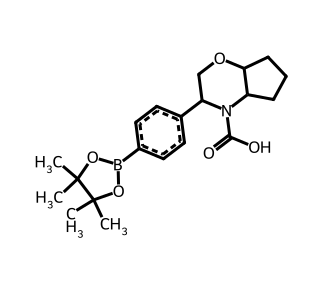 CC1(C)OB(c2ccc(C3COC4CCCC4N3C(=O)O)cc2)OC1(C)C